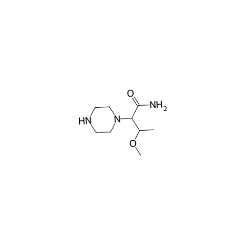 COC(C)C(C(N)=O)N1CCNCC1